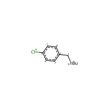 CCCCCc1ccc(Cl)cc1